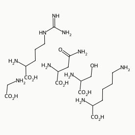 N=C(N)NCCCC(N)C(=O)O.NC(=O)CC(N)C(=O)O.NC(CO)C(=O)O.NCC(=O)O.NCCCCC(N)C(=O)O